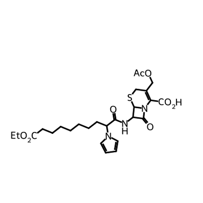 CCOC(=O)CCCCCCCC(C(=O)NC1C(=O)N2C(C(=O)O)=C(COC(C)=O)CSC12)n1cccc1